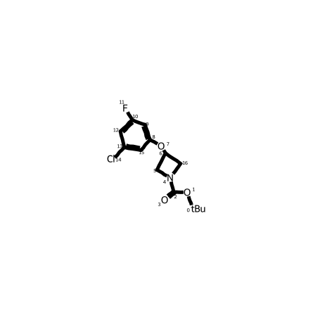 CC(C)(C)OC(=O)N1CC(Oc2cc(F)cc(Cl)c2)C1